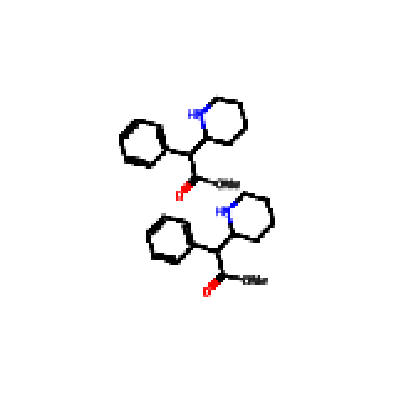 COC(=O)C(c1ccccc1)C1CCCCN1.COC(=O)C(c1ccccc1)C1CCCCN1